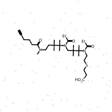 C#CCCCC(=O)N(C)CCC(C)(C)C(C)(C)N(CC(C)(C)C(C)(C)N(CCSCCC(=O)O)C(=O)CC)C(=O)CC